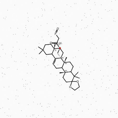 CC1(C)CC[C@]2(C(=O)O)CC[C@]3(COC(=O)CP=O)C(=CCC4[C@@]5(C)CCC6(OCCO6)C(C)(C)C5CC[C@]43C)C2C1